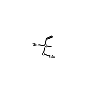 C=C[Si](C)(OC(C)(C)C)C(C)(C)C